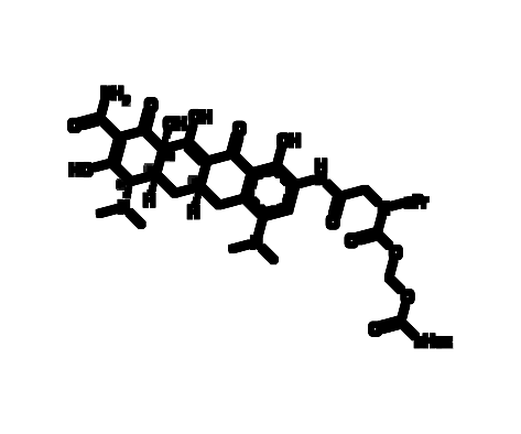 CCCCCCC(=O)OCOC(=O)N(CCC)CC(=O)Nc1cc(N(C)C)c2c(c1O)C(=O)C1=C(O)[C@]3(O)C(=O)C(C(N)=O)=C(O)[C@@H](N(C)C)[C@@H]3C[C@@H]1C2